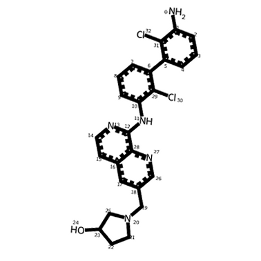 Nc1cccc(-c2cccc(Nc3nccc4cc(CN5CCC(O)C5)cnc34)c2Cl)c1Cl